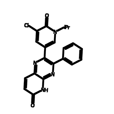 CC(C)n1cc(-c2nc3ccc(=O)[nH]c3nc2-c2ccccc2)cc(Cl)c1=O